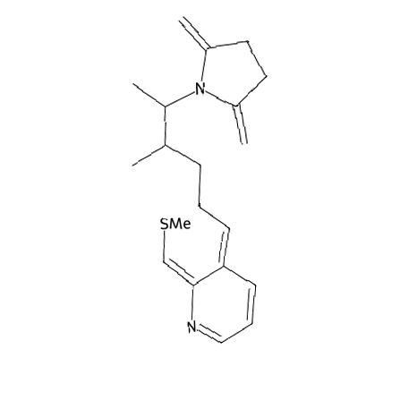 C=C1CCC(=C)N1C(C)C(C)CC/C=c1/cccn/c1=C/SC